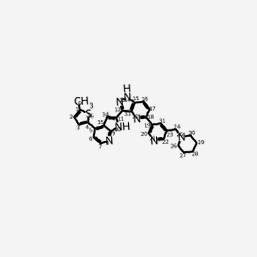 Cc1ccc(-c2ccnc3[nH]c(-c4n[nH]c5ccc(-c6cncc(CN7CCCCC7)c6)nc45)cc23)s1